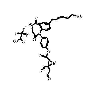 NCCCCCc1ccc2c(c1)C(=O)NCC(=O)N2c1ccc(OC(=O)C2NC2(C=O)CC=O)cc1.O=C(O)C(F)(F)F